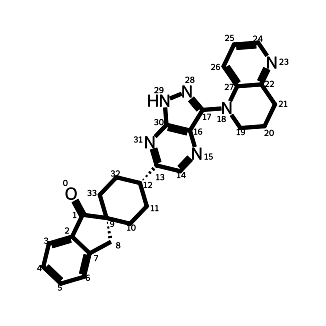 O=C1c2ccccc2C[C@]12CC[C@@H](c1cnc3c(N4CCCc5ncccc54)n[nH]c3n1)CC2